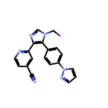 N#Cc1ccnc(-c2ncn(CI)c2-c2ccc(-n3cccn3)cc2)c1